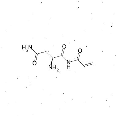 C=CC(=O)NC(=O)[C@@H](N)CC(N)=O